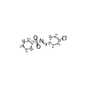 O=S(=O)(N=Cc1ccc(Cl)cc1)c1ccccc1